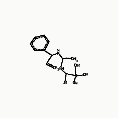 C=CC(NC(C)NC(CC)[Si](O)(O)O)c1ccccc1